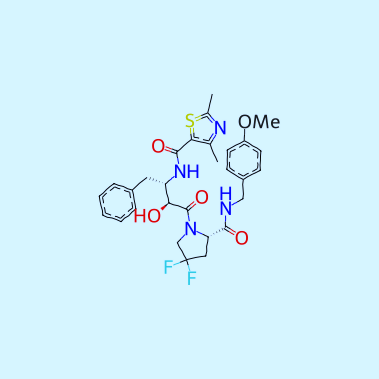 COc1ccc(CNC(=O)[C@@H]2CC(F)(F)CN2C(=O)[C@@H](O)[C@H](Cc2ccccc2)NC(=O)c2sc(C)nc2C)cc1